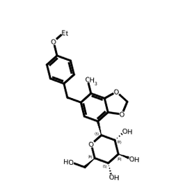 CCOc1ccc(Cc2cc([C@@H]3O[C@H](CO)[C@@H](O)[C@H](O)[C@H]3O)c3c(c2C)OCO3)cc1